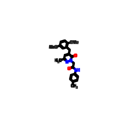 COc1ccc(OC)c(Cc2cc(C)nn(CC(=O)Nc3ccc(C)cc3)c2=O)c1